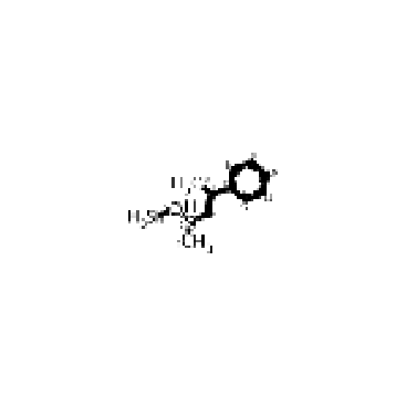 CC(=C[SiH](C)O[SiH3])c1ccccc1